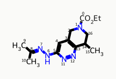 CCOC(=O)N1Cc2cc(NN=C(C)C)nnc2C(C)C1